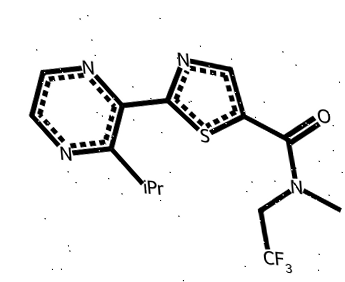 CC(C)c1nccnc1-c1ncc(C(=O)N(C)CC(F)(F)F)s1